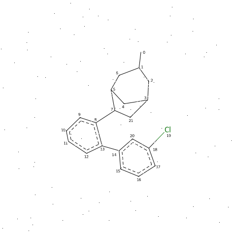 CC1CC2CC(C1)C(c1ccccc1-c1cccc(Cl)c1)C2